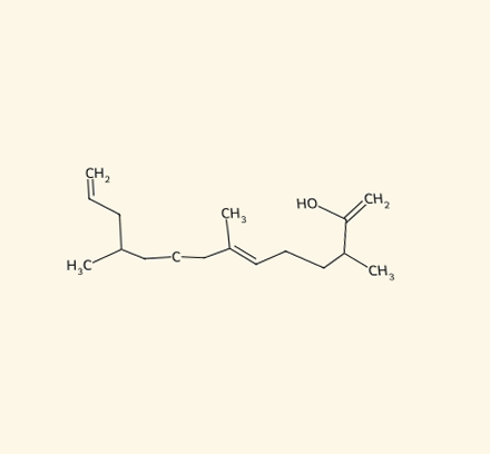 C=CCC(C)CCC/C(C)=C/CCC(C)C(=C)O